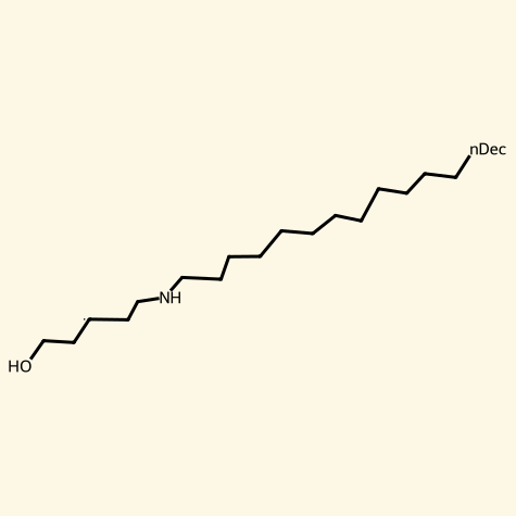 CCCCCCCCCCCCCCCCCCCCCCNCC[CH]CCO